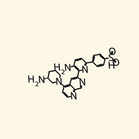 Nc1ccc(-c2ccc([SH](=O)=O)cc2)nc1-c1cc2c(N3CCC[C@H](N)C3)ccnc2cn1